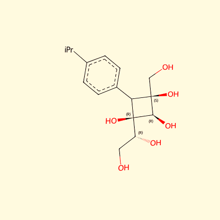 CC(C)c1ccc(C2[C@@](O)([C@H](O)CO)[C@H](O)[C@@]2(O)CO)cc1